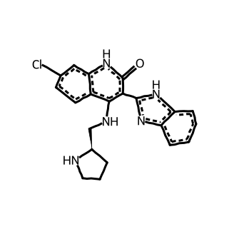 O=c1[nH]c2cc(Cl)ccc2c(NC[C@H]2CCCN2)c1-c1nc2ccccc2[nH]1